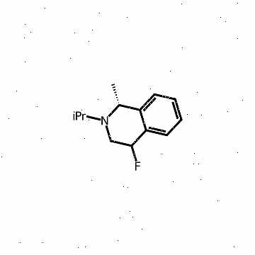 CC(C)N1CC(F)c2ccccc2[C@H]1C